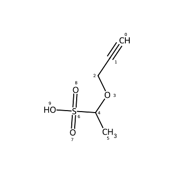 C#CCOC(C)S(=O)(=O)O